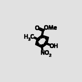 COC(=O)c1cc(O)c([N+](=O)[O-])cc1C